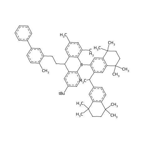 Cc1cc(C)c2c(c1)C(CCc1cc(-c3ccccc3)ccc1C)c1cc(C(C)(C)C)ccc1B2c1cc2c(cc1C(C)c1ccc3c(c1)C(C)(C)CCC3(C)C)C(C)(C)CCC2(C)C